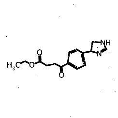 CCOC(=O)CCC(=O)c1ccc(C2CNC=N2)cc1